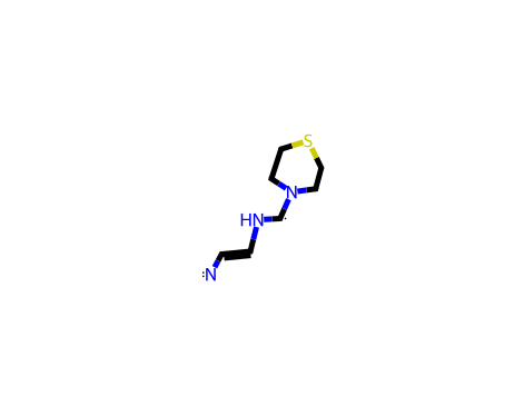 [N]C=CN[CH]N1CCSCC1